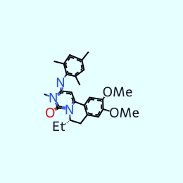 CC[C@H]1Cc2cc(OC)c(OC)cc2-c2cc(=Nc3c(C)cc(C)cc3C)n(C)c(=O)n21